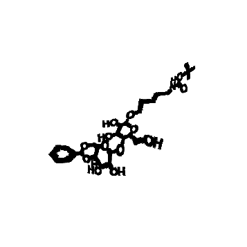 CC(C)(C)OC(=O)NCCCCCO[C@@H]1OC(CO)[C@@H](O[C@@H]2OC3COC(c4ccccc4)O[C@@H]3C(O)C2O)C(O)C1O